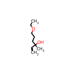 C=CC(C)(O)CCCOCC